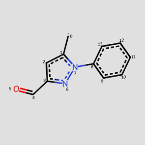 [CH2]c1cc(C=O)nn1-c1ccccc1